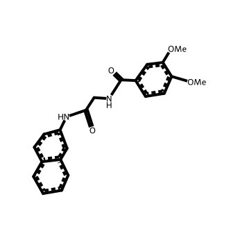 COc1ccc(C(=O)NCC(=O)Nc2ccc3ccccc3c2)cc1OC